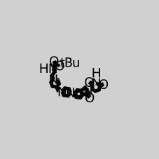 CC(C)(C)OC(=O)NCCN1CCC(CN2CCN(c3ccc4c(c3)CN(C3CCC(=O)NC3=O)C4=O)CC2)CC1